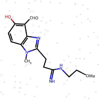 COCCNC(=N)CCc1nc2c(C=O)c(O)ccc2n1C